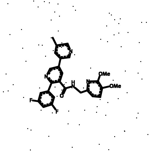 COc1ccc(CNC(=O)c2cc(-c3cncc(C)c3)cnc2-c2cc(F)cc(F)c2)nc1OC